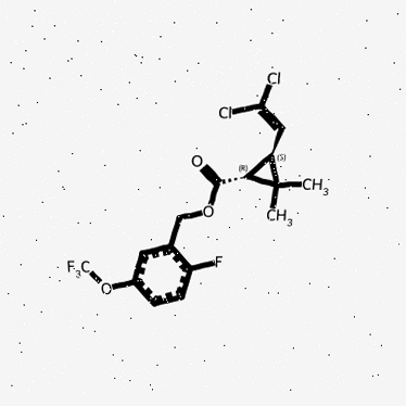 CC1(C)[C@H](C=C(Cl)Cl)[C@H]1C(=O)OCc1cc(OC(F)(F)F)ccc1F